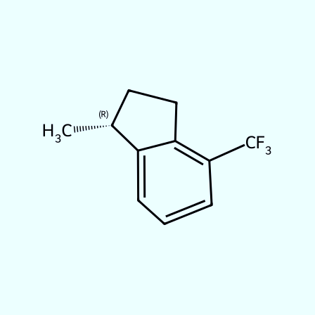 C[C@@H]1CCc2c1cccc2C(F)(F)F